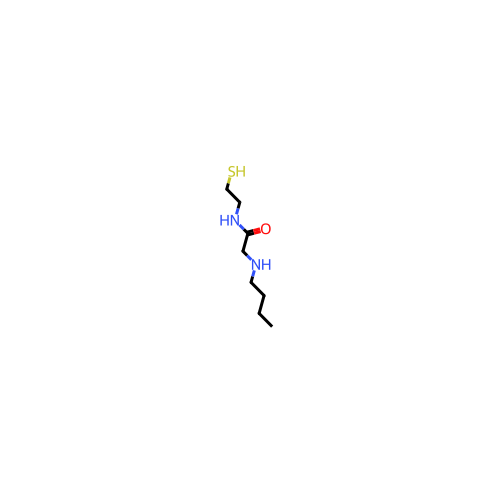 CCCCNCC(=O)NCCS